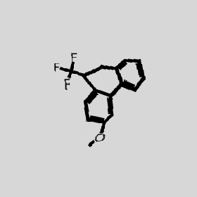 COc1ccc2c(c1)-c1ccccc1CC2C(F)(F)F